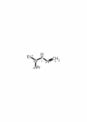 C=NPN(CC)CCC